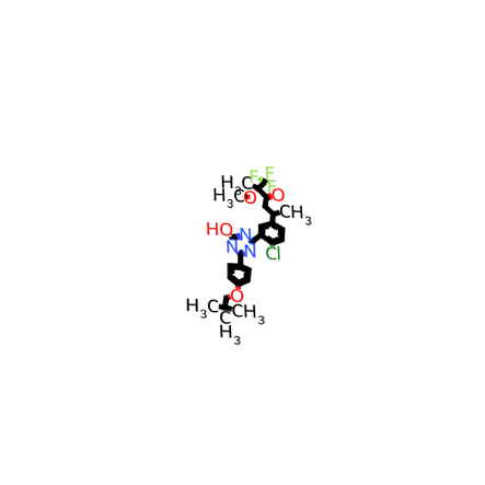 COC(C)(C(=O)CC(C)c1ccc(Cl)c(-c2nc(O)nc(-c3ccc(OCC(C)(C)C)cc3)n2)c1)C(F)(F)F